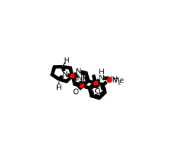 COc1cccc(C(=O)N[C@H]2C[C@H]3CC[C@@H](C2)N3c2ccc(C(=O)NN)cn2)c1C